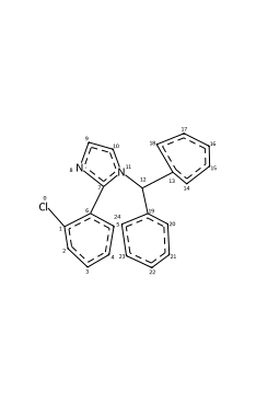 Clc1ccccc1-c1nccn1C(c1ccccc1)c1ccccc1